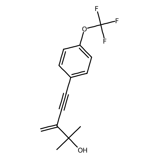 C=C(C#Cc1ccc(OC(F)(F)F)cc1)C(C)(C)O